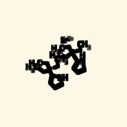 CC[B-](CC)(CC)c1ccc[nH]1.CC[B-](CC)(CC)c1ccc[nH]1.[Sr+2]